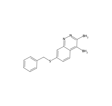 Bc1nnc2cc(SCc3ccccc3)ccc2c1B